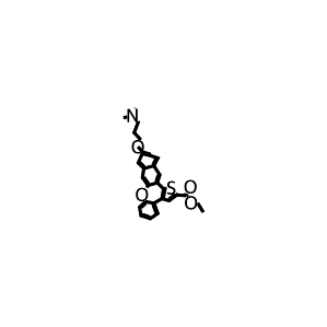 CCOC(=O)c1cc2c(s1)-c1cc3ccc(OCCCN(C)C)cc3cc1Oc1ccccc1-2